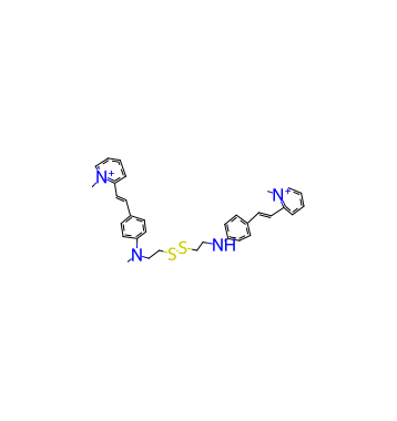 CN(CCSSCCNc1ccc(/C=C/c2cccc[n+]2C)cc1)c1ccc(/C=C/c2cccc[n+]2C)cc1